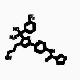 CC(O)(c1cccc(C(F)(F)F)c1)c1nc(-c2ccc(NC(=O)c3cscn3)cn2)cn1CCCO